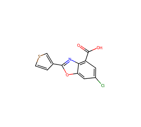 O=C(O)c1cc(Cl)cc2oc(-c3ccsc3)nc12